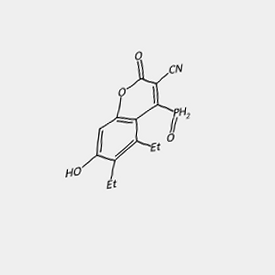 CCc1c(O)cc2oc(=O)c(C#N)c([PH2]=O)c2c1CC